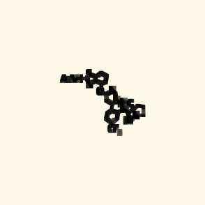 CC(=O)Nc1nc2c(Oc3cc(-c4ccc(C(F)(F)F)cc4NC(=O)C4(C)CCCN4C(C)C)ncn3)cccc2s1